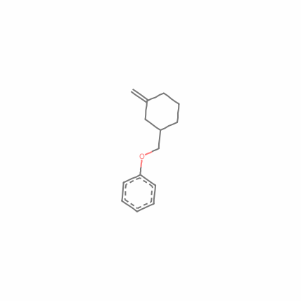 C=C1CCCC(COc2ccccc2)C1